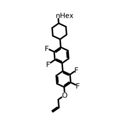 C=CCOc1ccc(-c2ccc(C3CCC(CCCCCC)CC3)c(F)c2F)c(F)c1F